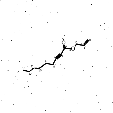 C=CCOC(=O)C#CCCCCCC